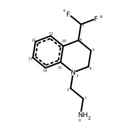 NCCN1CCC(C(F)F)c2ccccc21